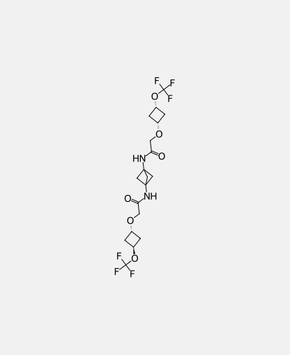 O=C(CO[C@H]1C[C@@H](OC(F)(F)F)C1)NC12CC(NC(=O)CO[C@H]3C[C@H](OC(F)(F)F)C3)(C1)C2